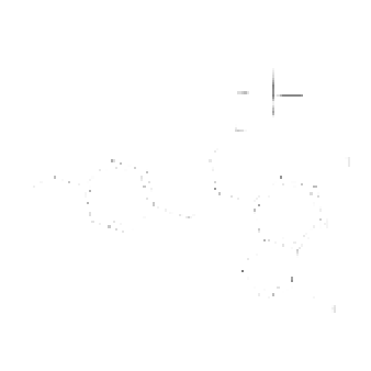 COc1ccc(CN(CC2CC(C)(O)C2)c2cc(Cl)nc3c(Br)cnn23)cc1